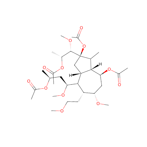 COCC[C@@H]1C([C@H](C[C@H](C)OC(C)=O)OC)[C@@H]2C[C@](OC(C)=O)([C@@H](OC)[C@@H](C)OC(C)=O)C(C)[C@@H]2[C@@H](OC(C)=O)C[C@@H]1OC